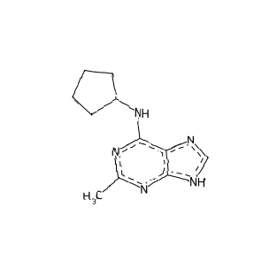 Cc1nc(NC2CCCC2)c2nc[nH]c2n1